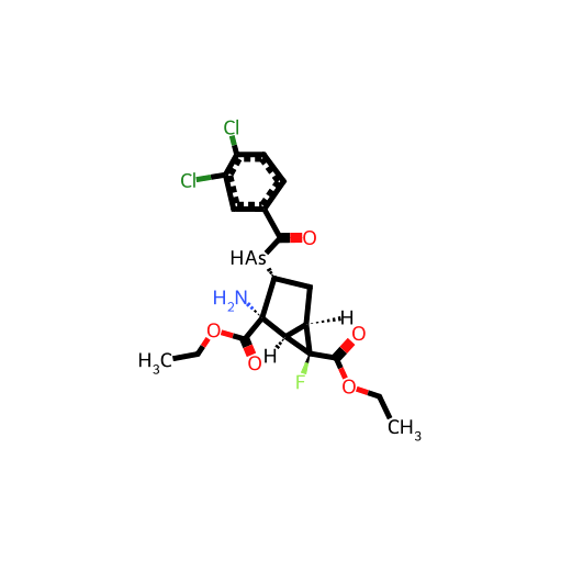 CCOC(=O)[C@]1(N)[C@H]2[C@@H](C[C@H]1[AsH]C(=O)c1ccc(Cl)c(Cl)c1)[C@]2(F)C(=O)OCC